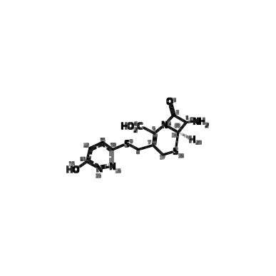 NC1C(=O)N2C(C(=O)O)=C(CSc3ccc(O)nn3)CS[C@H]12